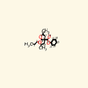 CCCOC(=O)C(CCC)(CCC)C(=O)Oc1ccccc1